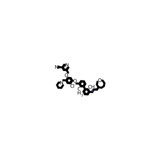 Cc1c(/C=C/CC2CCCCOCC2)cccc1-c1cccc(COc2cc(OCc3cncc(C#N)c3)c(CN3CCCCC3)cc2Cl)c1C